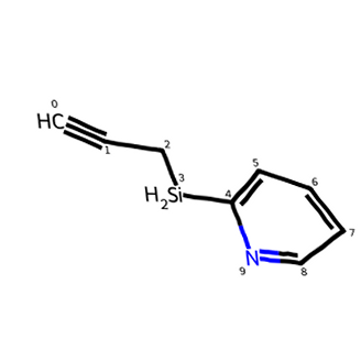 C#CC[SiH2]c1ccccn1